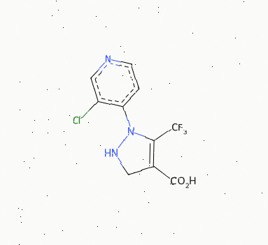 O=C(O)C1=C(C(F)(F)F)N(c2ccncc2Cl)NC1